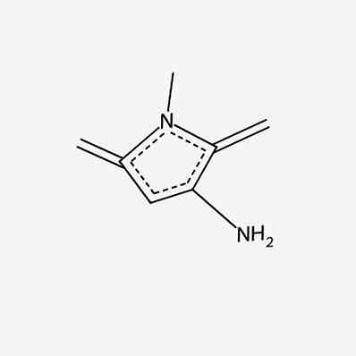 C=c1cc(N)c(=C)n1C